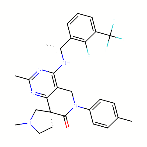 Cc1ccc(N2Cc3c(N[C@H](C)c4cccc(C(F)(F)F)c4F)nc(C)nc3[C@@]3(CCN(C)C3)C2=O)cc1